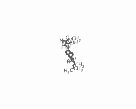 CCn1c(O)c(N=Nc2ccc3cc(S(=O)(=O)NCC(C)CC(C)C)ccc3c2)c(C(F)(F)F)c(C#N)c1=O